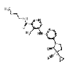 COCCNC(=O)c1cncc(Nc2cc(N3CC[C@@](C#N)(C4CC4)C3=O)ccn2)c1C